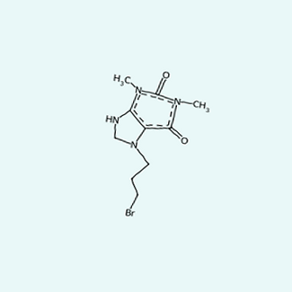 Cn1c2c(c(=O)n(C)c1=O)N(CCCBr)CN2